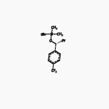 CC(C)[C@@H](O[Si](C)(C)C(C)(C)C)c1ccc(C(F)(F)F)cc1